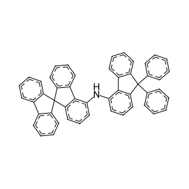 c1ccc(C2(c3ccccc3)c3ccccc3-c3c(Nc4cccc5c4-c4ccccc4C54c5ccccc5-c5ccccc54)cccc32)cc1